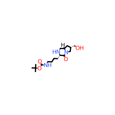 CC(C)(C)OC(=O)NCCCC[C@@H]1NC[C@@H]2C[C@H](CO)CN2C1=O